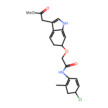 COC(=O)Cc1c[nH]c2c1=CCC(OCC(=O)NC1=C(C)CC(Cl)C=C1)C=2